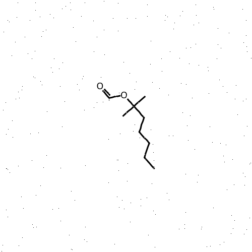 CCCCCC(C)(C)O[C]=O